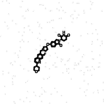 O=C1CC[C@H](N2Cc3cc(O[C@H]4CCN(Cc5cc6ccc(C7CCOCC7)nc6cc5F)C4)ccc3C2=O)C(=O)N1